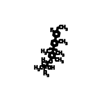 CCc1ccc(-c2ccc(C(CC)(CC)c3ccc(OCC(O)C(C)(C)C)c(C)c3)cc2C)cc1F